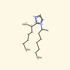 CCCCCCCCCCCCCCCC(C)n1ccnc1C(CCCCCCCCC)CCCCCCCCCCCCCC